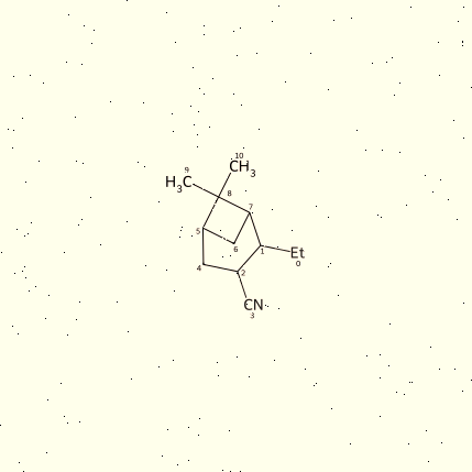 CCC1C(C#N)CC2CC1C2(C)C